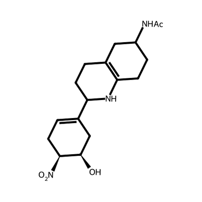 CC(=O)NC1CCC2=C(CCC(C3=CC[C@H]([N+](=O)[O-])[C@H](O)C3)N2)C1